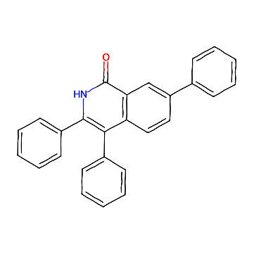 O=c1[nH]c(-c2ccccc2)c(-c2ccccc2)c2ccc(-c3ccccc3)cc12